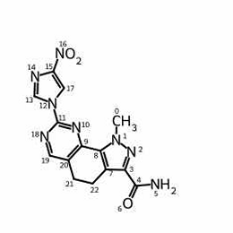 Cn1nc(C(N)=O)c2c1-c1nc(-n3cnc([N+](=O)[O-])c3)ncc1CC2